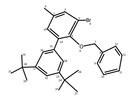 Cc1cc(Br)c(OCc2ccccc2)c(-c2cc(C(C)(C)C)cc(C(C)(C)C)c2)c1